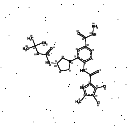 Cc1[nH]c(C(=O)Nc2ccc(C(=O)NN)cc2N2CC[C@H](NC(=O)OC(C)(C)C)C2)c(Cl)c1Cl